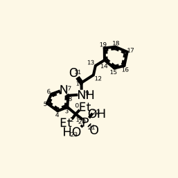 CCC(CC)(c1cccnc1NC(=O)CCc1ccccc1)P(=O)(O)O